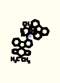 C=C(/N=N\C(=C(/C)c1ccccc1)c1cccc2c1-c1ccccc1C21c2ccccc2C(C)(C)c2ccccc21)c1ccc2c3c(cccc13)-c1ccccc1-2